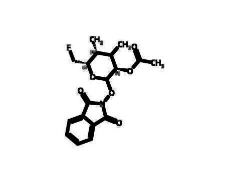 CC(=O)O[C@H]1C(ON2C(=O)c3ccccc3C2=O)O[C@H](CF)[C@H](C)C1C